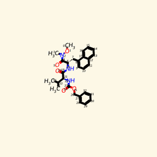 CON(C)C(=O)[C@H](Cc1cccc2ccccc12)NC(=O)[C@@H](NC(=O)OCc1ccccc1)C(C)C